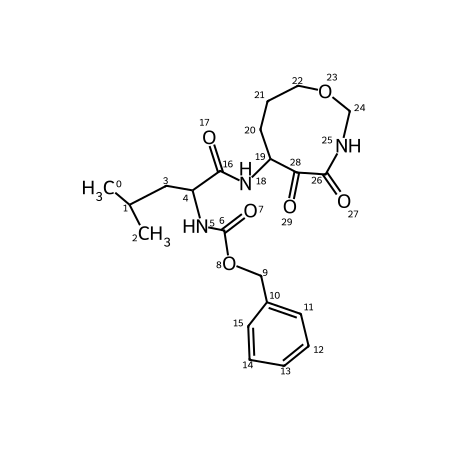 CC(C)CC(NC(=O)OCc1ccccc1)C(=O)NC1CCCOCNC(=O)C1=O